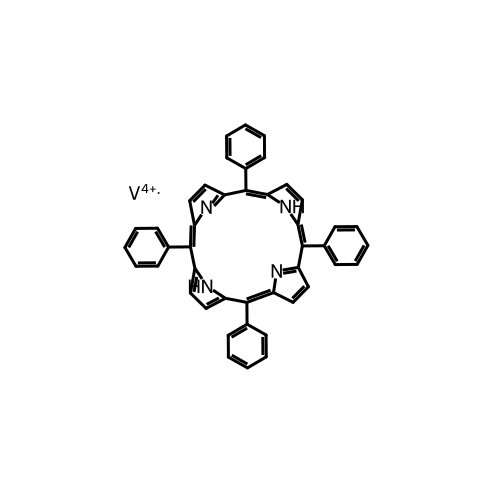 C1=Cc2nc1c(-c1ccccc1)c1ccc([nH]1)c(-c1ccccc1)c1nc(c(-c3ccccc3)c3ccc([nH]3)c2-c2ccccc2)C=C1.[V+4]